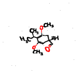 [2H]C1(C=O)C=C(OC)C(C(C)C)=C(OC)C1